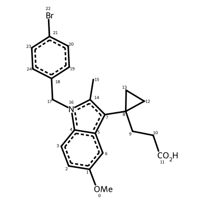 COc1ccc2c(c1)c(C1(CCC(=O)O)CC1)c(C)n2Cc1ccc(Br)cc1